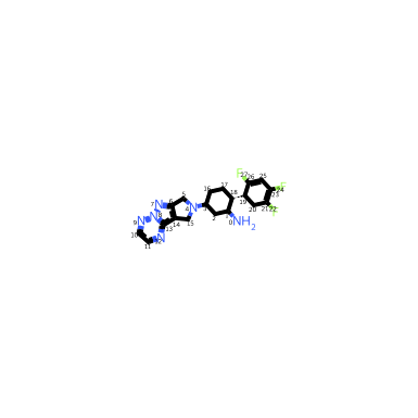 NC1CC(N2Cc3nn4nccnc4c3C2)CC[C@@H]1C1CC(F)=C(F)C=C1F